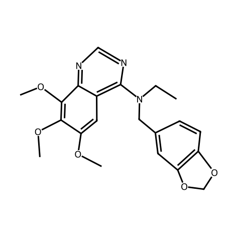 CCN(Cc1ccc2c(c1)OCO2)c1ncnc2c(OC)c(OC)c(OC)cc12